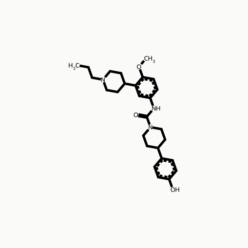 CCCN1CCC(c2cc(NC(=O)N3CCC(c4ccc(O)cc4)CC3)ccc2OC)CC1